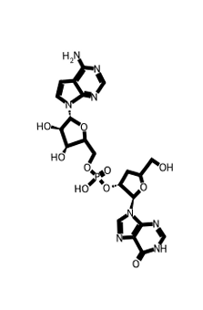 Nc1ncnc2c1ccn2[C@@H]1OC(COP(=O)(O)O[C@@H]2CC(CO)O[C@H]2n2cnc3c(=O)[nH]cnc32)[C@@H](O)[C@H]1O